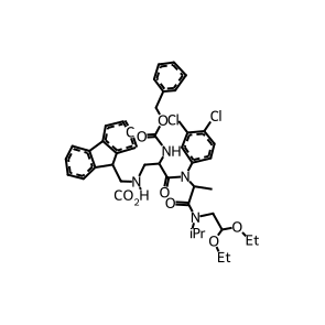 CCOC(CN(C(=O)C(C)N(C(=O)C(CN(CC1c2ccccc2-c2ccccc21)C(=O)O)NC(=O)OCc1ccccc1)c1ccc(Cl)c(Cl)c1)C(C)C)OCC